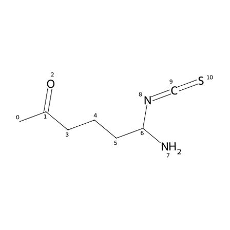 CC(=O)CCCC(N)N=C=S